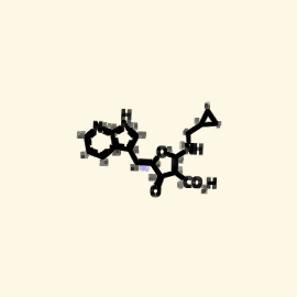 O=C(O)C1=C(NCC2CC2)O/C(=C\c2c[nH]c3ncccc23)C1=O